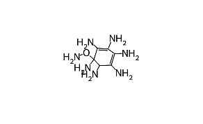 NOC1(N)C(N)=C(N)C(N)=C(N)C1N